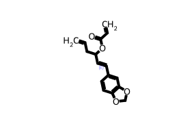 C=CCC(/C=C/c1ccc2c(c1)OCO2)OC(=O)C=C